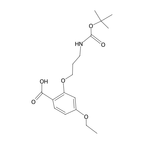 CCOc1ccc(C(=O)O)c(OCCCNC(=O)OC(C)(C)C)c1